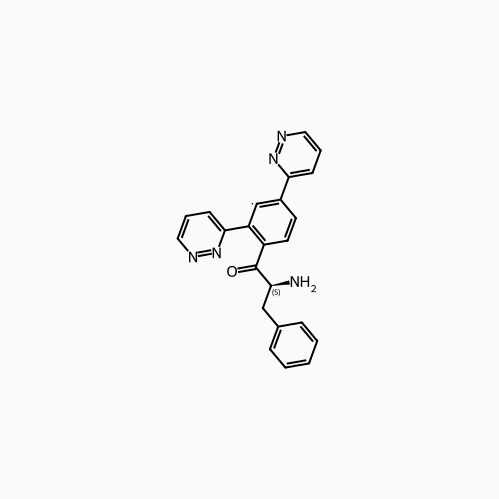 N[C@@H](Cc1ccccc1)C(=O)c1ccc(-c2cccnn2)[c]c1-c1cccnn1